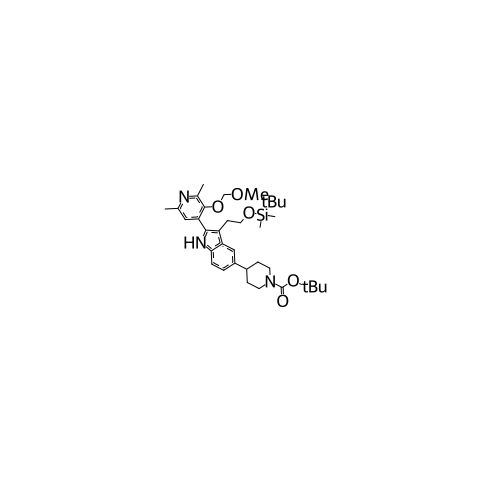 COCOc1c(-c2[nH]c3ccc(C4CCN(C(=O)OC(C)(C)C)CC4)cc3c2CCO[Si](C)(C)C(C)(C)C)cc(C)nc1C